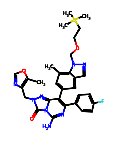 Cc1ocnc1Cn1nc2c(-c3cc(C)c4c(cnn4COCCS(C)(C)C)c3)c(-c3ccc(F)cc3)nc(N)n2c1=O